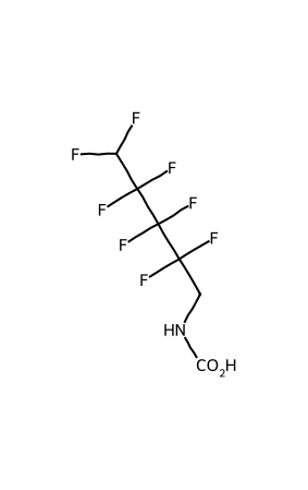 O=C(O)NCC(F)(F)C(F)(F)C(F)(F)C(F)F